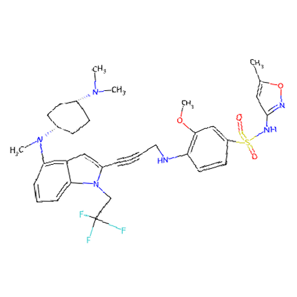 COc1cc(S(=O)(=O)Nc2cc(C)on2)ccc1NCC#Cc1cc2c(N(C)[C@H]3CC[C@@H](N(C)C)CC3)cccc2n1CC(F)(F)F